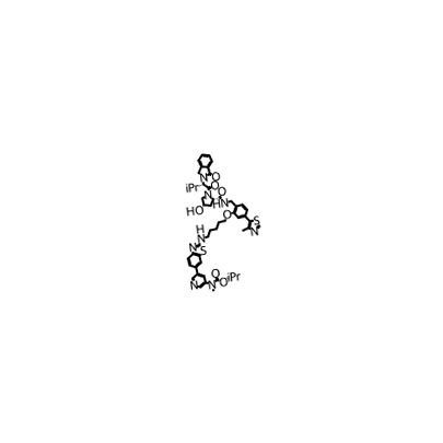 Cc1ncsc1-c1ccc(CNC(=O)[C@@H]2C[C@@H](O)CN2C(=O)[C@H](C(C)C)N2Cc3ccccc3C2=O)c(OCCCCCNc2nc3ccc(-c4cncc(N(C)C(=O)OC(C)C)c4)cc3s2)c1